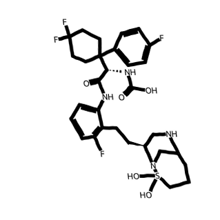 O=C(O)N[C@H](C(=O)Nc1cccc(F)c1CC[C@H]1CNC2CCCS(O)(O)N1C2)C1(c2ccc(F)cc2)CCC(F)(F)CC1